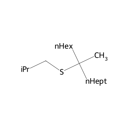 CCCCCCCC(C)(CCCCCC)SCC(C)C